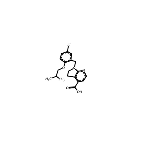 CC(C)COc1ccc(Cl)cc1CN1CCc2c(C(=O)O)ccnc21